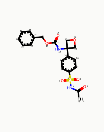 CC(=O)NS(=O)(=O)c1ccc(C2(NC(=O)OCc3ccccc3)COC2)cc1